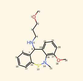 COCCCNC1c2ccccc2SN(C)c2c(OC)cccc21